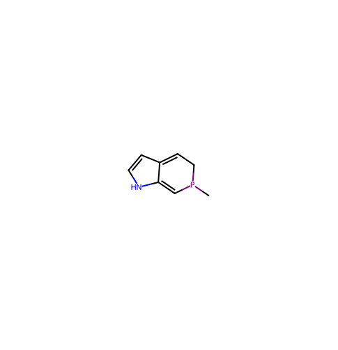 CP1C=c2[nH]ccc2=CC1